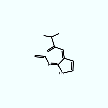 C=C/N=C1/NC=C/C1=C/C(=C)C(C)C